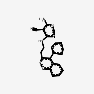 N#Cc1c(N)ncnc1NCCc1nnc2ccccc2c1-c1ccccc1